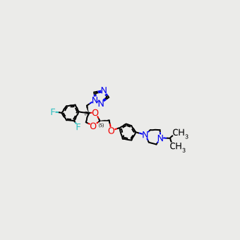 CC(C)N1CCN(c2ccc(OC[C@H]3OC[C@](Cn4cncn4)(c4ccc(F)cc4F)O3)cc2)CC1